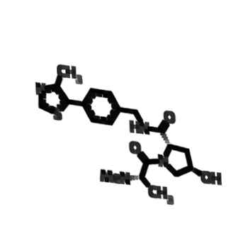 CN[C@@H](C)C(=O)N1C[C@H](O)C[C@H]1C(=O)NCc1ccc(-c2scnc2C)cc1